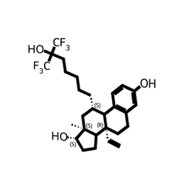 C=C[C@@]12CCc3cc(O)ccc3C1[C@@H](CCCCCC(O)(C(F)(F)F)C(F)(F)F)C[C@@]1(C)C2CC[C@@H]1O